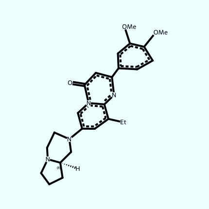 CCc1cc(N2CCN3CCC[C@@H]3C2)cn2c(=O)cc(-c3ccc(OC)c(OC)c3)nc12